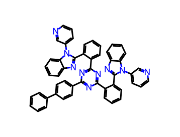 c1ccc(-c2ccc(-c3nc(-c4ccccc4-c4nc5ccccc5n4-c4cccnc4)nc(-c4ccccc4-c4nc5ccccc5n4-c4cccnc4)n3)cc2)cc1